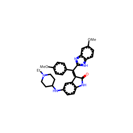 CCN1CCC(Nc2ccc3c(c2)C(=C(c2ccc(OC)cc2)c2nc4cc(OC)ccc4[nH]2)C(=O)N3)CC1